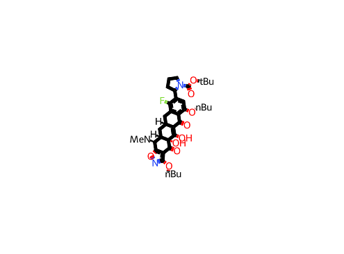 CCCCOc1cc(C2CCCN2C(=O)OC(C)(C)C)c(F)c2c1C(=O)C1=C(O)[C@]3(O)C(=O)c4c(OCCCC)noc4[C@@H](NC)[C@@H]3C[C@@H]1C2